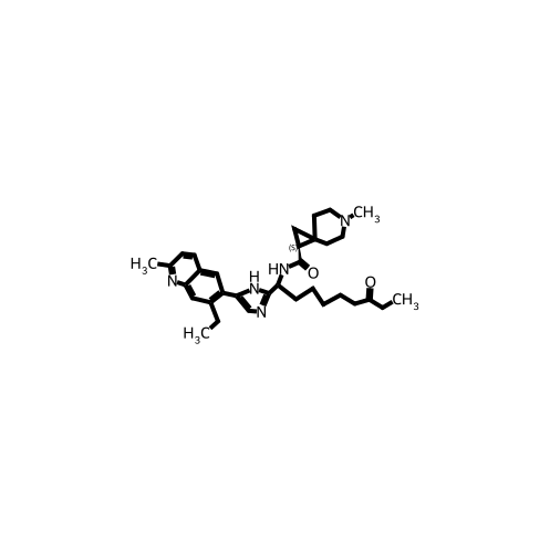 CCC(=O)CCCCCC(NC(=O)[C@H]1CC12CCN(C)CC2)c1ncc(-c2cc3ccc(C)nc3cc2CC)[nH]1